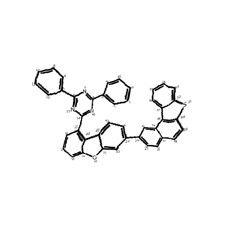 c1ccc(-c2nc(-c3ccccc3)nc(-c3cccc4oc5cc(-c6ccc7ccc8sc9ccccc9c8c7c6)ccc5c34)n2)cc1